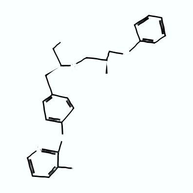 CCOC(=O)c1cccnc1Oc1ccc(C[C@@H](CO)NC[C@H](O)COc2ccccc2)cc1